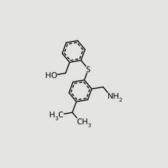 CC(C)c1ccc(Sc2ccccc2CO)c(CN)c1